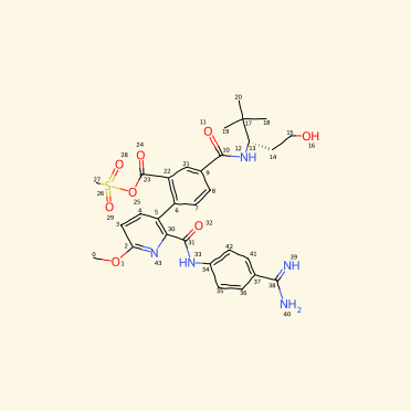 COc1ccc(-c2ccc(C(=O)N[C@@H](CCO)C(C)(C)C)cc2C(=O)OS(C)(=O)=O)c(C(=O)Nc2ccc(C(=N)N)cc2)n1